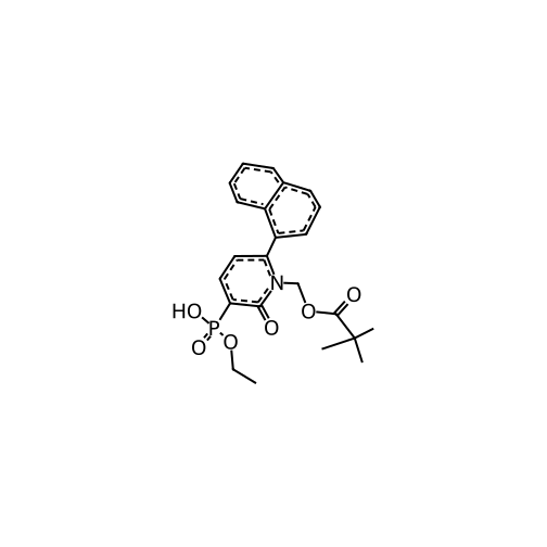 CCOP(=O)(O)c1ccc(-c2cccc3ccccc23)n(COC(=O)C(C)(C)C)c1=O